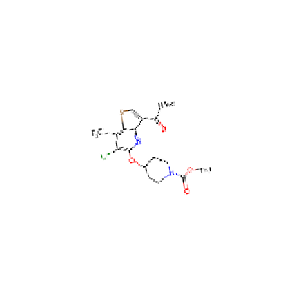 CNC(=O)c1csc2c(C(F)(F)F)c(Cl)c(OC3CCN(C(=O)OC(C)(C)C)CC3)nc12